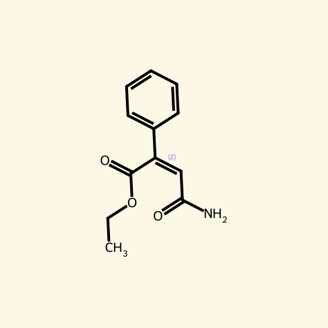 CCOC(=O)/C(=C\C(N)=O)c1ccccc1